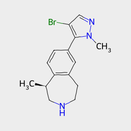 C[C@@H]1CNCCc2cc(-c3c(Br)cnn3C)ccc21